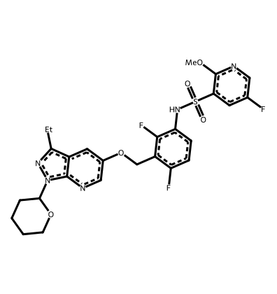 CCc1nn(C2CCCCO2)c2ncc(OCc3c(F)ccc(NS(=O)(=O)c4cc(F)cnc4OC)c3F)cc12